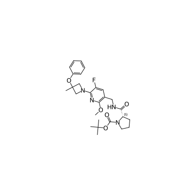 COc1nc(N2CC(C)(Oc3ccccc3)C2)c(F)cc1CNC(=O)[C@@H]1CCCN1C(=O)OC(C)(C)C